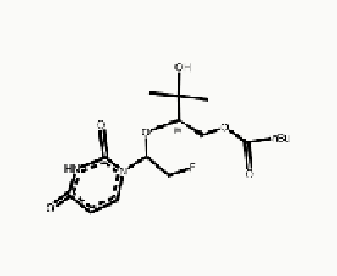 CCCCC(=O)OC[C@@H](OC(CF)n1ccc(=O)[nH]c1=O)C(C)(C)O